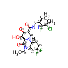 C/C=C(CNC(=O)C1CN2C(=C(O)C1=O)C(=O)N(CC)C1CC(F)(F)CC[C@@H]12)\C(F)=C(/C)Cl